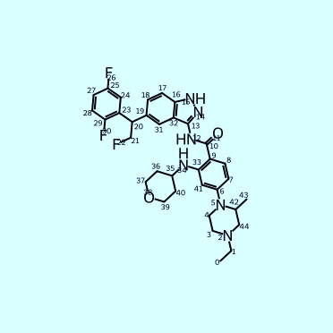 CCN1CCN(c2ccc(C(=O)Nc3n[nH]c4ccc(C(CF)c5cc(F)ccc5F)cc34)c(NC3CCOCC3)c2)C(C)C1